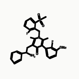 COc1cccc(-c2c(C)n(Cc3c(F)cccc3S(C)(=O)=O)c(C)c(CC(N)c3ccccc3)c2=O)c1F